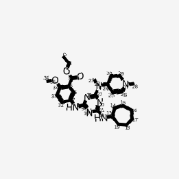 CCOC(=O)c1cc(Nc2nc(NC3CCCCCC3)nc(N(C)C3C=CN(C)CC3)n2)ccc1OC